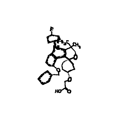 CC1(C)CO[C@]2(CC[C@@H](OCC(=O)O)CC2)c2c1n(-c1ccc(F)cc1)c1cccc(OCc3ccccc3)c12